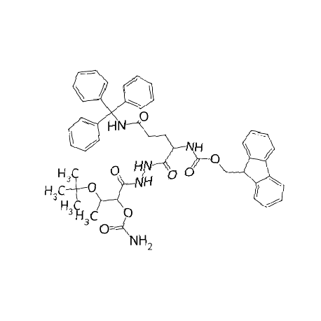 CC(OC(C)(C)C)C(OC(N)=O)C(=O)NNC(=O)C(CCC(=O)NC(c1ccccc1)(c1ccccc1)c1ccccc1)NC(=O)OCC1c2ccccc2-c2ccccc21